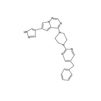 c1ccc(Cc2cnc(N3CCN(c4ncnn5cc(-c6cn[nH]c6)cc45)CC3)nc2)cc1